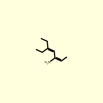 C/C=C(/N)C=C(CC)CC